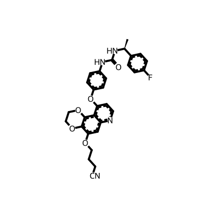 C[C@H](NC(=O)Nc1ccc(Oc2ccnc3cc(OCCCC#N)c4c(c23)OCCO4)cc1)c1ccc(F)cc1